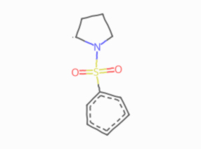 O=S(=O)(c1ccccc1)N1[CH]CCC1